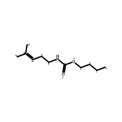 CCCCOC(=O)NCCC=C(C)C